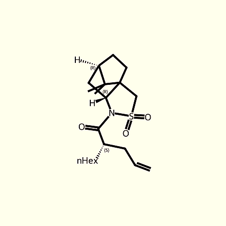 C=CC[C@H](CCCCCC)C(=O)N1[C@@H]2C[C@H]3CCC2(CS1(=O)=O)C3(C)C